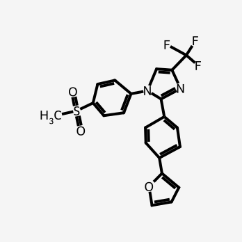 CS(=O)(=O)c1ccc(-n2cc(C(F)(F)F)nc2-c2ccc(-c3ccco3)cc2)cc1